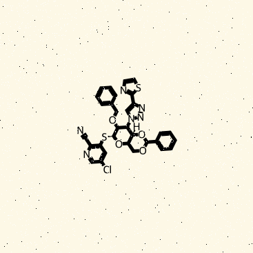 N#Cc1ncc(Cl)cc1S[C@H]1OC2COC(c3ccccc3)O[C@@H]2C(n2cc(-c3nccs3)nn2)C1OCc1ccccc1